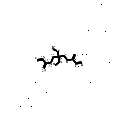 C=CC(=C)CCC(CC)(CC)CCC(=C)C=C